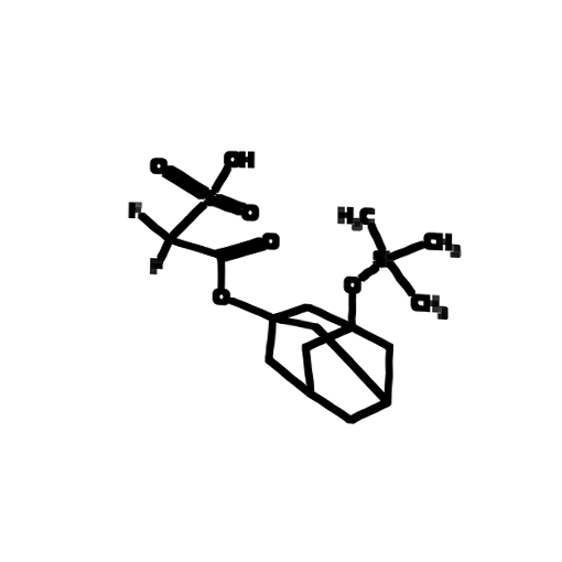 C[Si](C)(C)OC12CC3CC(CC(OC(=O)C(F)(F)S(=O)(=O)O)(C3)C1)C2